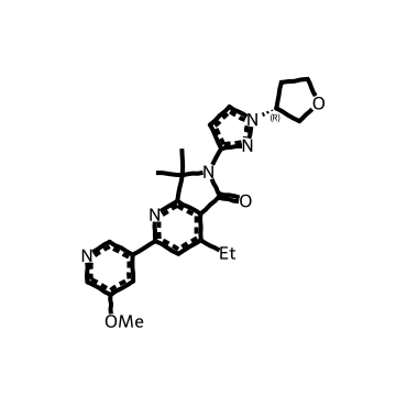 CCc1cc(-c2cncc(OC)c2)nc2c1C(=O)N(c1ccn([C@@H]3CCOC3)n1)C2(C)C